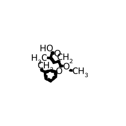 C=C(C=C(C)C(=O)O)C(=O)OCC.C=Cc1ccccc1